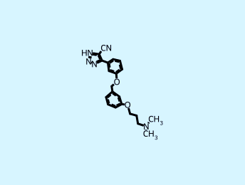 CN(C)CCCOc1cccc(COc2cccc(-c3nn[nH]c3C#N)c2)c1